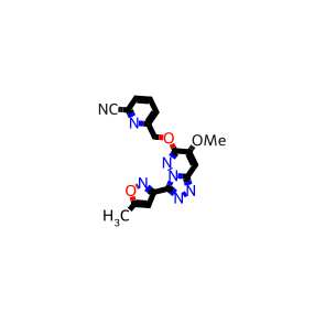 COc1cc2nnc(-c3cc(C)on3)n2nc1OCc1cccc(C#N)n1